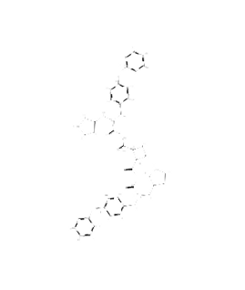 O=C(OC(=O)N(Cc1ccc(Oc2ccccc2)cc1)CC1CCCC1)C1CCC1C(=O)OC(=O)N(Cc1ccc(Oc2ccccc2)cc1)CC1CCCC1